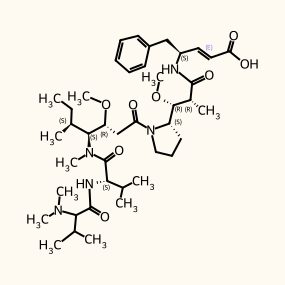 CC[C@H](C)[C@@H]([C@@H](CC(=O)N1CCC[C@H]1[C@H](OC)[C@@H](C)C(=O)N[C@H](/C=C/C(=O)O)Cc1ccccc1)OC)N(C)C(=O)[C@@H](NC(=O)C(C(C)C)N(C)C)C(C)C